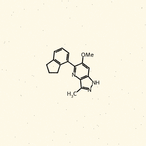 COc1cc2[nH]nc(C)c2nc1-c1cccc2c1CCC2